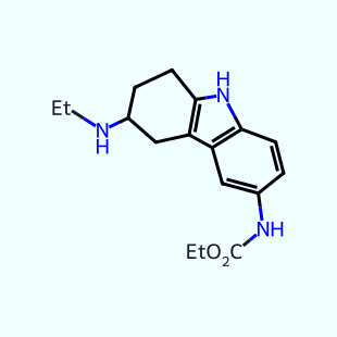 CCNC1CCc2[nH]c3ccc(NC(=O)OCC)cc3c2C1